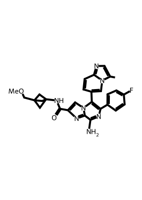 COCC12CC(NC(=O)c3cn4c(-c5ccc6ncc(C)n6c5)c(-c5ccc(F)cc5)nc(N)c4n3)(C1)C2